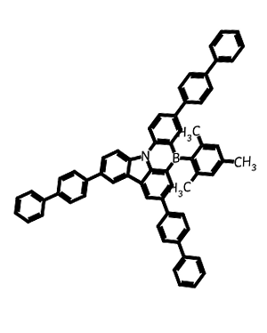 Cc1cc(C)c(B2c3cc(-c4ccc(-c5ccccc5)cc4)ccc3-n3c4ccc(-c5ccc(-c6ccccc6)cc5)cc4c4cc(-c5ccc(-c6ccccc6)cc5)cc2c43)c(C)c1